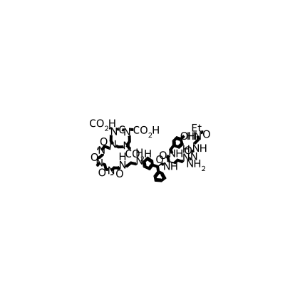 CCC(=O)NCCNC(=O)/N=C(/N)NCCC[C@@H](NC(=O)[C@@H](c1ccccc1)c1ccc(NCCCNC(=O)CN(C)C(=O)CN(C)C(=O)CN(C)C(=O)CN2CCN(CC(=O)O)CCN(CC(=O)O)CCN(CC(=O)O)CC2)cc1)C(=O)NCc1ccc(O)cc1